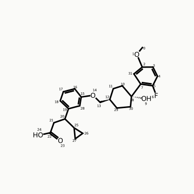 COc1ccc(F)c([C@]2(O)CC[C@H](COc3cccc(C(CC(=O)O)C4CC4)c3)CC2)c1